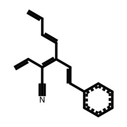 C=CC=CC(C=Cc1ccccc1)=C(C#N)C=C